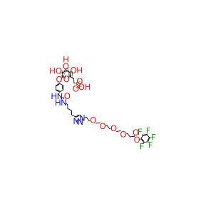 O=C(NCCCCc1cn(CCOCCOCCOCCOCCC(=O)Oc2c(F)c(F)c(F)c(F)c2F)nn1)Nc1ccc(O[C@H]2O[C@H](CCS(=O)(=O)O)[C@@H](O)[C@H](O)[C@@H]2O)cc1